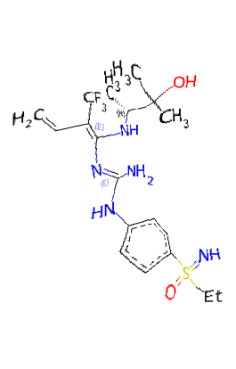 C=C/C(=C(\N=C(/N)Nc1ccc(S(=N)(=O)CC)cc1)N[C@H](C)C(C)(C)O)C(F)(F)F